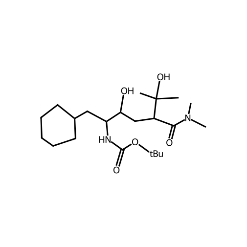 CN(C)C(=O)C(CC(O)C(CC1CCCCC1)NC(=O)OC(C)(C)C)C(C)(C)O